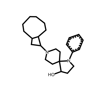 OC1CCN(c2ccccc2)C12CCN(C1CC3CCCCCCC31)CC2